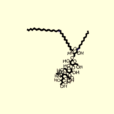 CCCCCCCCC/C=C/C(O)C(COC1OC(CO)C(OC2OC(CO)C(O)C(OC3(C(=O)O)CC(O)C(NC(C)=O)C(C(O)C(O)CO)O3)C2O)C(O)C1O)NC(=O)CCCCCCCCCCC/C=C\CCCCCCCCCCCCCC